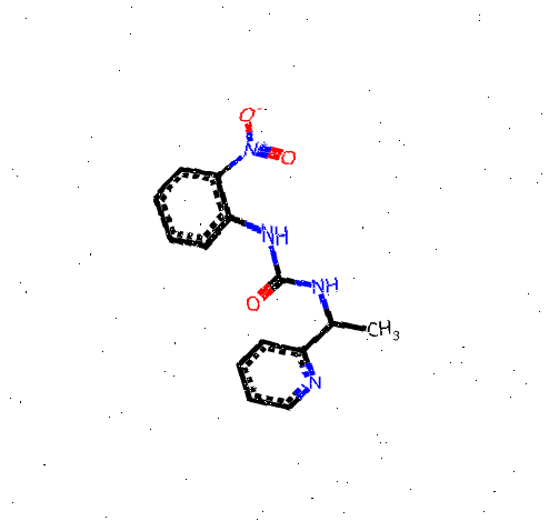 CC(NC(=O)Nc1ccccc1[N+](=O)[O-])c1ccccn1